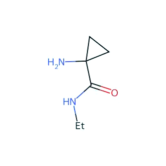 CCNC(=O)C1(N)CC1